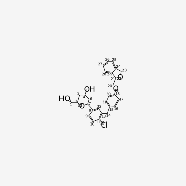 OCC1CC(O)CC(c2ccc(Cl)c(Cc3ccc(OCC4OCc5ccccc54)cc3)c2)O1